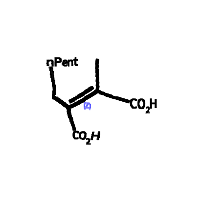 CCCCCC/C(C(=O)O)=C(\C)C(=O)O